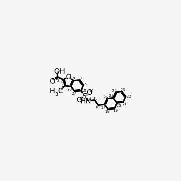 Cc1c(C(=O)O)oc2ccc(S(=O)(=O)NCCc3ccc4ccccc4c3)cc12